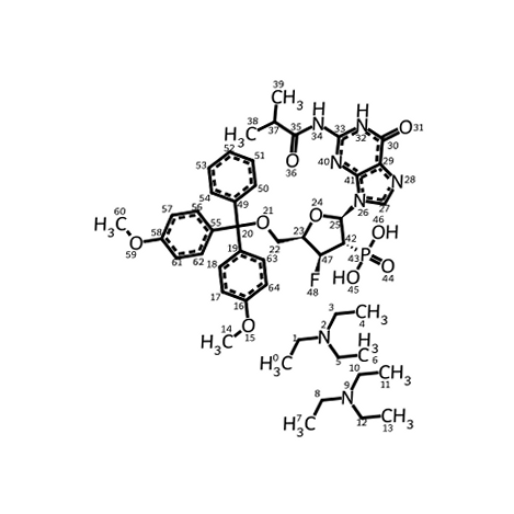 CCN(CC)CC.CCN(CC)CC.COc1ccc(C(OC[C@H]2O[C@@H](n3cnc4c(=O)[nH]c(NC(=O)C(C)C)nc43)[C@H](P(=O)(O)O)[C@H]2F)(c2ccccc2)c2ccc(OC)cc2)cc1